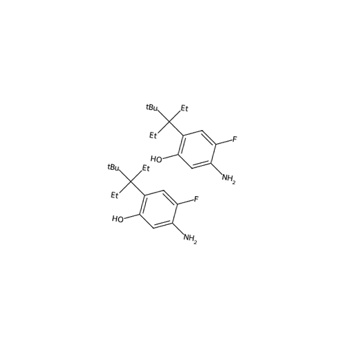 CCC(CC)(c1cc(F)c(N)cc1O)C(C)(C)C.CCC(CC)(c1cc(F)c(N)cc1O)C(C)(C)C